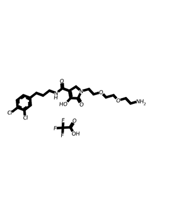 NCCOCCOCCN1CC(C(=O)NCCCc2ccc(Cl)c(Cl)c2)=C(O)C1=O.O=C(O)C(F)(F)F